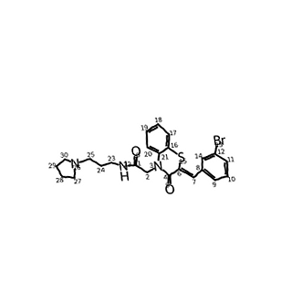 O=C(CN1C(=O)C(=Cc2cccc(Br)c2)Sc2ccccc21)NCCCN1CCCC1